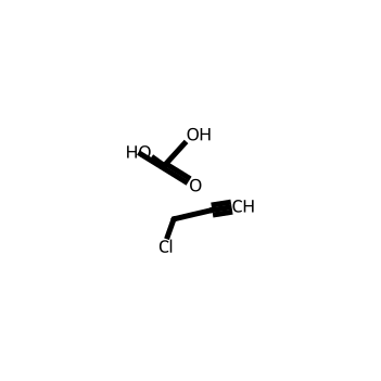 C#CCCl.O=C(O)O